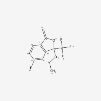 CCOC1(C(F)(F)F)OC(=O)c2ccc(F)cc21